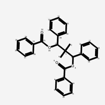 CC(C)(C(OC(=O)c1ccccc1)c1ccccc1)C(OC(=O)c1ccccc1)c1ccccc1